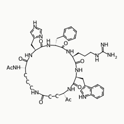 CC(=O)N[C@H]1CCCNC(=O)CC[C@@H](C(C)=O)NC(=O)[C@H](Cc2c[nH]c3ccccc23)NC(=O)[C@H](CCCNC(=N)N)NC(=O)[C@@H](Cc2ccccc2)NC(=O)[C@H](Cc2c[nH]cn2)NC1=O